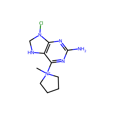 C[N+]1(c2nc(N)nc3c2NCN3Cl)CCCC1